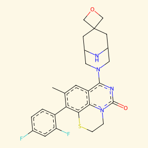 Cc1cc2c(N3CC4CC5(COC5)CC(C3)N4)nc(=O)n3c2c(c1-c1ccc(F)cc1F)SCC3